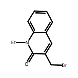 CCn1c(=O)c(CBr)cc2ccccc21